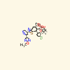 COc1ncc(-c2cc(-c3nc4cc(C)c([C@H](OC(C)(C)C)C(=O)O)c(-c5ccc(Cl)cc5)c4s3)ccn2)cn1